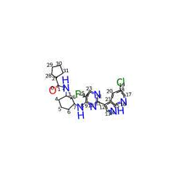 O=C(NC1CCCC(Nc2nc(-c3c[nH]c4ncc(Cl)cc34)ncc2F)C1)C1CCCC1